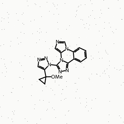 COC1(c2cnnn2-c2nnc3c4ccccc4n4cncc4n23)CC1